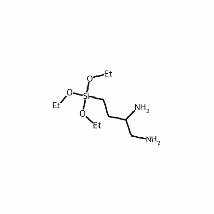 CCO[Si](CCC(N)CN)(OCC)OCC